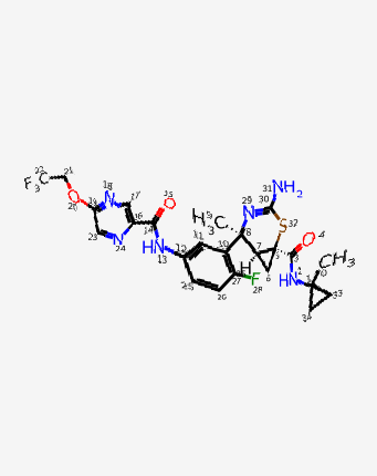 CC1(NC(=O)[C@]23C[C@H]2[C@@](C)(c2cc(NC(=O)c4cnc(OCC(F)(F)F)cn4)ccc2F)N=C(N)S3)CC1